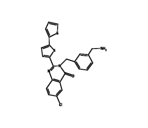 NCc1cccc(Cn2c(-c3ccc(-c4cccs4)s3)nc3ccc(Cl)cc3c2=O)c1